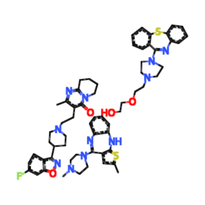 Cc1cc2c(s1)Nc1ccccc1N=C2N1CCN(C)CC1.Cc1nc2n(c(=O)c1CCN1CCC(c3noc4cc(F)ccc34)CC1)CCCC2.OCCOCCN1CCN(C2=Nc3ccccc3Sc3ccccc32)CC1